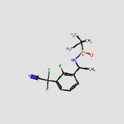 CC(N[S@+]([O-])C(C)(C)C)c1cccc(C(F)(F)C#N)c1F